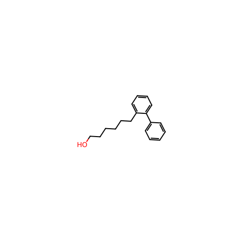 OCCCCCCc1ccccc1-c1ccccc1